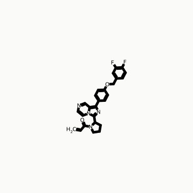 C=CC(=O)N1CCCC1c1nc(-c2ccc(OCc3ccc(F)c(F)c3)cc2)c2cnccn12